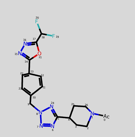 CC(=O)N1CCC(c2nnn(Cc3ccc(-c4nnc(C(F)F)o4)cc3)n2)CC1